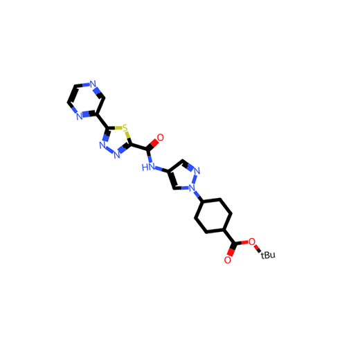 CC(C)(C)OC(=O)C1CCC(n2cc(NC(=O)c3nnc(-c4cnccn4)s3)cn2)CC1